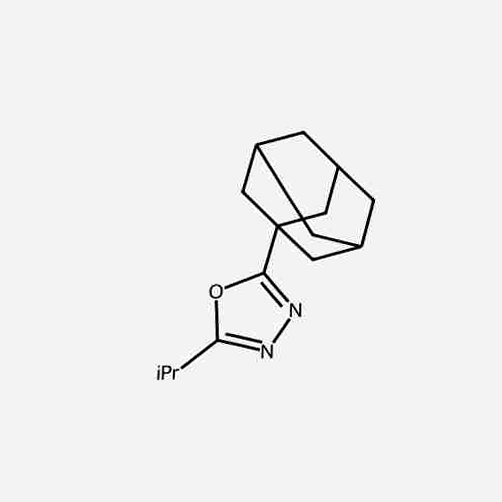 CC(C)c1nnc(C23CC4CC(CC(C4)C2)C3)o1